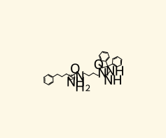 N=C1NC(c2ccccc2)(c2ccccc2)C(=O)N1CCCCNC(=O)[C@@H](N)CCCc1ccccc1